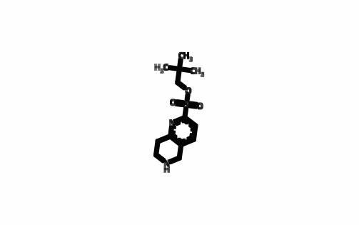 CC(C)(C)COS(=O)(=O)c1ccc2c(n1)CCNC2